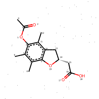 CC(=O)Oc1c(C)c(C)c2c(c1C)C[C@H](CC(=O)O)O2